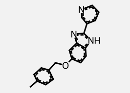 Cc1ccc(COc2ccc3[nH]c(-c4cccnc4)nc3c2)cc1